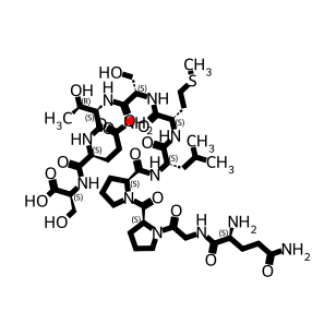 CSCC[C@H](NC(=O)[C@H](CC(C)C)NC(=O)[C@@H]1CCCN1C(=O)[C@@H]1CCCN1C(=O)CNC(=O)[C@@H](N)CCC(N)=O)C(=O)N[C@@H](CO)C(=O)N[C@H](C(=O)N[C@@H](CCC(N)=O)C(=O)N[C@@H](CO)C(=O)O)[C@@H](C)O